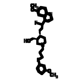 COc1cccc(SCCCN2CC[C@@H](CCC(F)c3ccnc4ccc(OC)cc34)[C@@H](CO)C2)c1